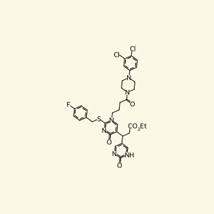 CCOC(=O)CC(c1cnc(=O)[nH]c1)c1cn(CCCC(=O)N2CCN(c3ccc(Cl)c(Cl)c3)CC2)c(SCc2ccc(F)cc2)nc1=O